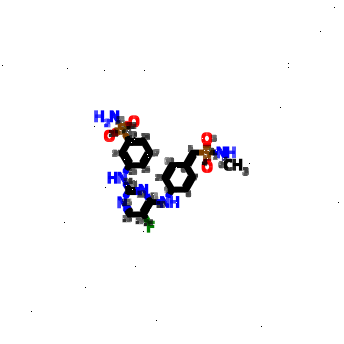 CNS(=O)(=O)C=C1C=CC(Nc2nc(Nc3cccc(S(N)(=O)=O)c3)ncc2F)C=C1